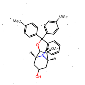 COc1ccc(C(O[C@H]2[C@@H](OC(C)=O)[C@@H]3CC(O)C[C@H]2N3C(C)C)(c2ccccc2)c2ccc(OC)cc2)cc1